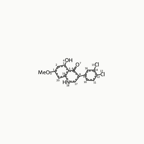 COc1cc(O)c2c(=O)c(-c3ccc(Cl)c(Cl)c3)c[nH]c2c1